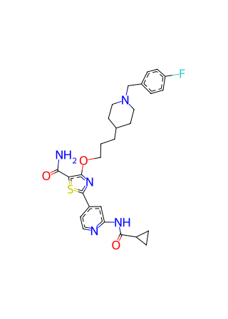 NC(=O)c1sc(-c2ccnc(NC(=O)C3CC3)c2)nc1OCCCC1CCN(Cc2ccc(F)cc2)CC1